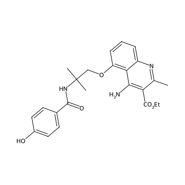 CCOC(=O)c1c(C)nc2cccc(OCC(C)(C)NC(=O)c3ccc(O)cc3)c2c1N